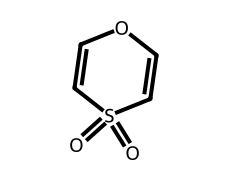 O=S1(=O)C=COC=C1